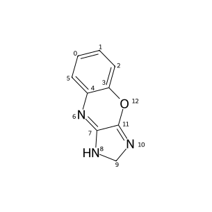 c1ccc2c(c1)N=C1NCN=C1O2